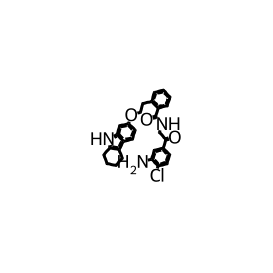 Nc1cc(C(=O)CNC(=O)c2ccccc2CCOc2ccc3c4c([nH]c3c2)CCCC4)ccc1Cl